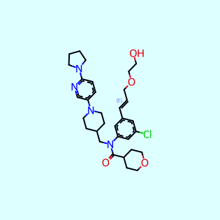 O=C(C1CCOCC1)N(CC1CCN(c2ccc(N3CCCC3)nc2)CC1)c1cc(Cl)cc(/C=C/COCCO)c1